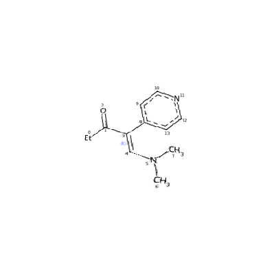 CCC(=O)/C(=C/N(C)C)c1ccncc1